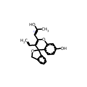 C=CC1=C(/C=C(\C)O)Oc2cc(O)ccc2C12OCc1ccccc12